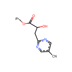 CC(C)OC(=O)C(O)Cc1ncc(C#N)cn1